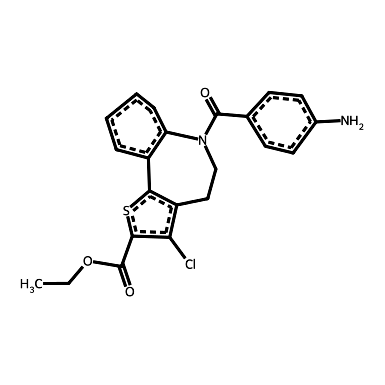 CCOC(=O)c1sc2c(c1Cl)CCN(C(=O)c1ccc(N)cc1)c1ccccc1-2